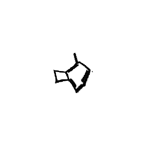 Cc1[c]ccc2c1CC2